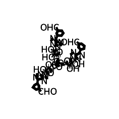 O=Cc1cccc(-c2ncnc3c2ncn3[C@@H]2O[C@H](COP(=O)(OC[C@H]3O[C@@H](n4cnc5c(-c6cccc(C=O)c6)ncnc54)[C@H](O)[C@@H]3O)OC[C@H]3O[C@@H](n4cnc5c(-c6cccc(C=O)c6)ncnc54)[C@H](O)[C@@H]3O)[C@@H](O)[C@H]2O)c1